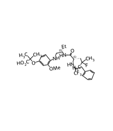 CC[C@@H](CNc1ccc(OC(C)(C)C(=O)O)cc1OC)NC(=O)[C@H](CC(C)(C)F)N[C@@H](Cc1ccccc1)C(F)(F)F